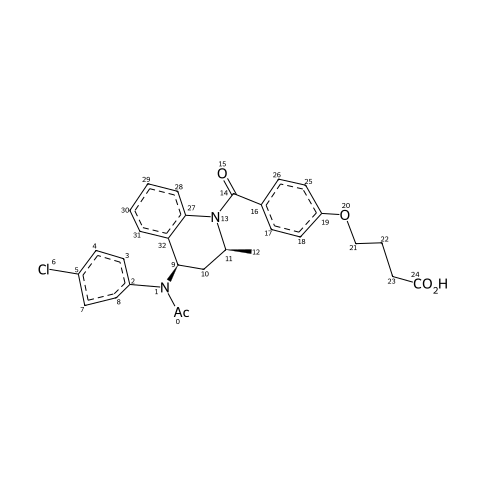 CC(=O)N(c1ccc(Cl)cc1)[C@@H]1C[C@H](C)N(C(=O)c2ccc(OCCCC(=O)O)cc2)c2ccccc21